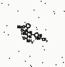 COc1ccccc1-n1c(=O)[nH]c2c(C(N)=O)nc(-c3ccc4nc(C(F)(F)F)[nH]c4c3)nc21